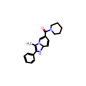 CC1=C(c2ccccc2)NC2C=CC(C(=O)N3CCCCC3)=CN12